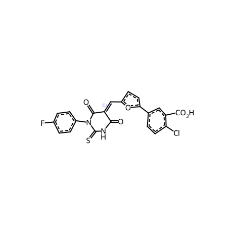 O=C1NC(=S)N(c2ccc(F)cc2)C(=O)/C1=C/c1ccc(-c2ccc(Cl)c(C(=O)O)c2)o1